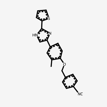 [C-]#[N+]c1ccc(COc2ccc(-c3c[nH]c(-c4cccs4)n3)cc2C)cc1